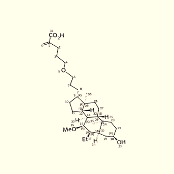 C=C(CCCOCCC[C@H]1CC[C@H]2[C@@H]3[C@H](OC)[C@H](CC)[C@@H]4C[C@H](O)CC[C@]4(C)[C@H]3CC[C@]12C)C(=O)O